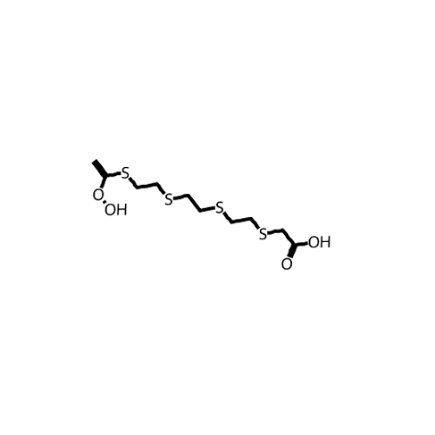 C=C(OO)SCCSCCSCCSCC(=O)O